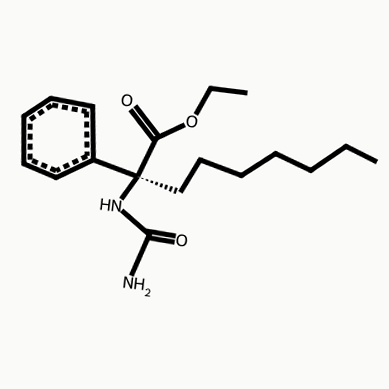 CCCCCCC[C@@](NC(N)=O)(C(=O)OCC)c1ccccc1